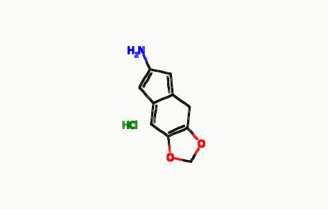 Cl.NC1=CC2=CC3=C(CC2=C1)OCO3